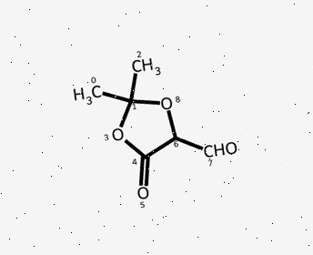 CC1(C)OC(=O)C(C=O)O1